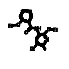 CCOc1c[c]ccc1C(=O)Nc1cc(CC)c(C)nc1OCC